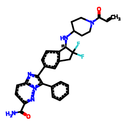 C=CC(=O)N1CCC(N[C@@H]2c3ccc(-c4nc5ccc(C(N)=O)nn5c4-c4ccccc4)cc3CC2(F)F)CC1